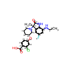 CCNc1cc(F)cc2c1NC(=O)[C@@]2(C)N1CCC[C@@H](Oc2ccc(C(=O)O)c(Cl)c2)C1